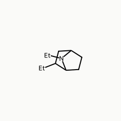 CCC1CC2CCC1N2CC